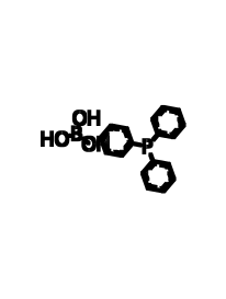 OB(O)O.c1ccc(P(c2ccccc2)c2ccccc2)cc1